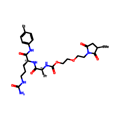 CCc1ccc(NC(=O)[C@H](CCCNC(N)=O)NC(=O)[C@@H](NC(=O)OCCOCCN2C(=O)CC(SC)C2=O)C(C)C)cc1